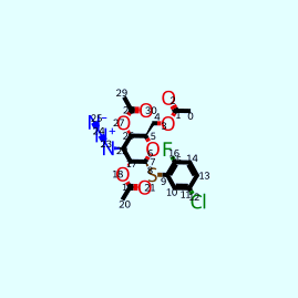 CC(=O)OC[C@H]1O[C@H](Sc2cc(Cl)ccc2F)[C@H](OC(C)=O)[C@@H](N=[N+]=[N-])[C@H]1OC(C)=O